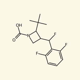 CC(C)(C)C1C(C(F)c2c(F)cccc2F)CN1C(=O)O